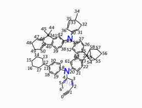 C#C/C=C\C(=C/C)N(c1ccc(C2CCCCC2)cc1)c1ccc(C2(c3ccc(N(C4=CCC(C)C=C4)c4ccc5c(c4)C(C)(C)C4=CCCC=C45)cc3)CC3CCC2C3)cc1